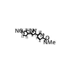 CNC(=O)c1ccc(-c2cc(C3CCN(C#N)C3)[nH]n2)cn1